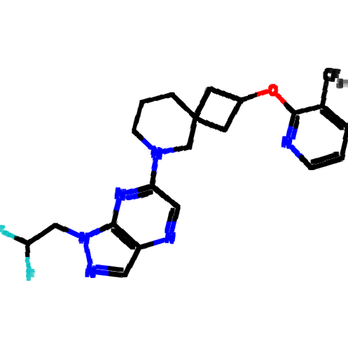 FC(F)Cn1ncc2ncc(N3CCCC4(CC(Oc5ncccc5C(F)(F)F)C4)C3)nc21